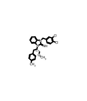 COC[C@H](Cc1ccc(C)cc1)n1c(=N)n(Cc2ccc(Cl)c(Cl)c2)c2ccccc21